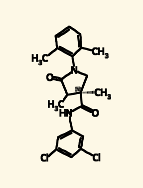 Cc1cccc(C)c1N1C[C@@](C)(C(=O)Nc2cc(Cl)cc(Cl)c2)C(C)C1=O